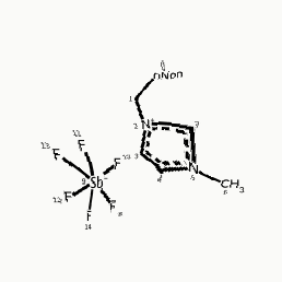 CCCCCCCCCC[n+]1ccn(C)c1.[F][Sb-]([F])([F])([F])([F])[F]